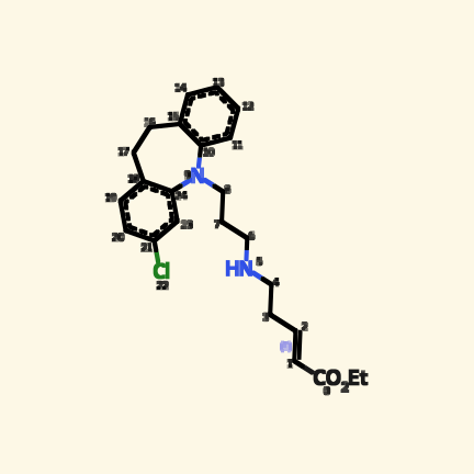 CCOC(=O)/C=C/CCNCCCN1c2ccccc2CCc2ccc(Cl)cc21